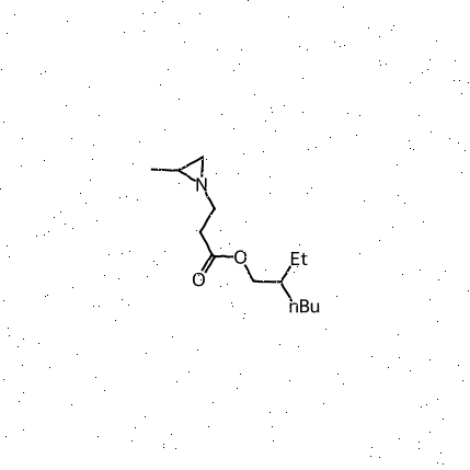 CCCCC(CC)COC(=O)CCN1CC1C